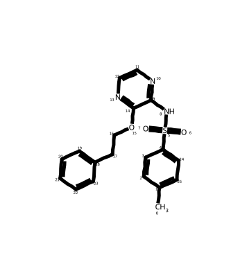 Cc1ccc(S(=O)(=O)Nc2nccnc2OCCc2ccccc2)cc1